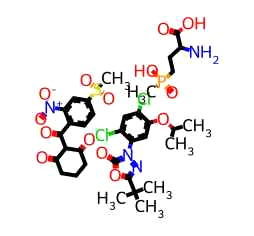 CC(C)Oc1cc(-n2nc(C(C)(C)C)oc2=O)c(Cl)cc1Cl.CP(=O)(O)CCC(N)C(=O)O.CS(=O)(=O)c1ccc(C(=O)C2C(=O)CCCC2=O)c([N+](=O)[O-])c1